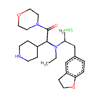 CCN(C(C)Cc1ccc2c(c1)CCO2)C(C(=O)N1CCOCC1)C1CCNCC1.Cl